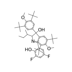 CCC(C)C(N=Cc1cc(F)cc(F)c1O)C(O)(c1cc(C(C)(C)C)c(OC)c(C(C)(C)C)c1)c1cc(C(C)(C)C)c(OC)c(C(C)(C)C)c1